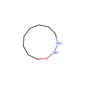 C1CCCCONNCCC1